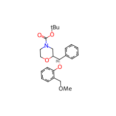 COCc1ccccc1O[C@@H](c1ccccc1)C1CN(C(=O)OC(C)(C)C)CCO1